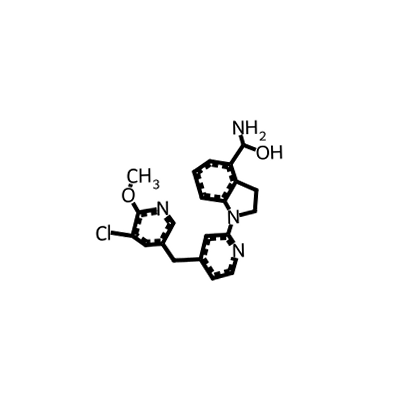 COc1ncc(Cc2ccnc(N3CCc4c(C(N)O)cccc43)c2)cc1Cl